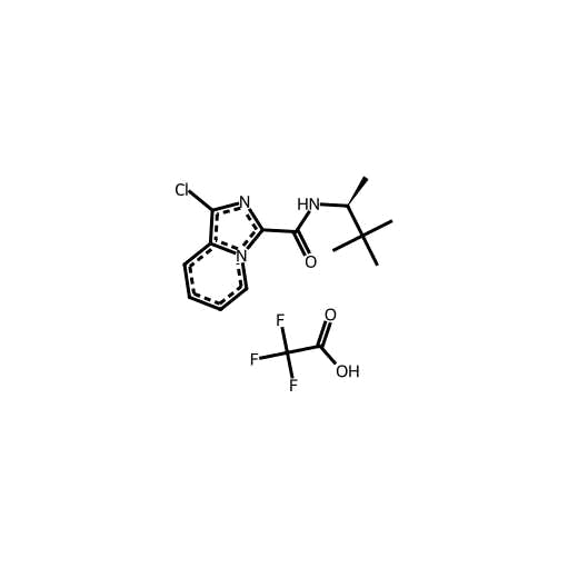 C[C@H](NC(=O)c1nc(Cl)c2ccccn12)C(C)(C)C.O=C(O)C(F)(F)F